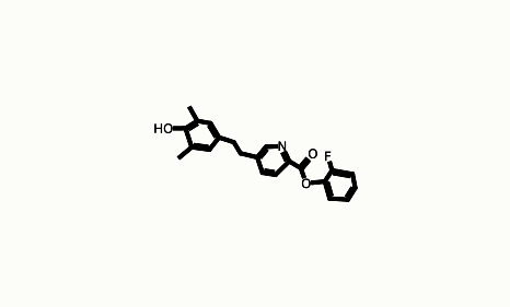 Cc1cc(CCc2ccc(C(=O)Oc3ccccc3F)nc2)cc(C)c1O